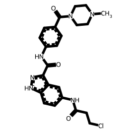 CN1CCN(C(=O)c2ccc(NC(=O)c3n[nH]c4ccc(NC(=O)CCCl)cc34)cc2)CC1